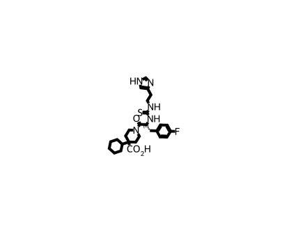 O=C([C@@H](Cc1ccc(F)cc1)NC(=S)NCCc1c[nH]cn1)N1CCC(C(=O)O)(C2CCCCC2)CC1